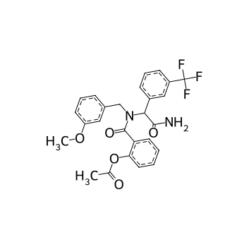 COc1cccc(CN(C(=O)c2ccccc2OC(C)=O)C(C(N)=O)c2cccc(C(F)(F)F)c2)c1